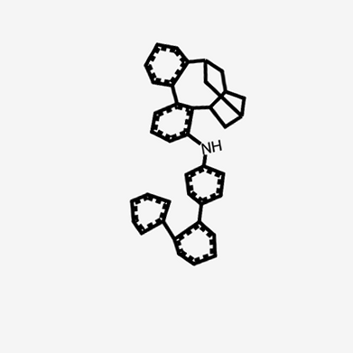 c1ccc(-c2ccccc2-c2ccc(Nc3cccc4c3C3CC5CC(CC3C5)c3ccccc3-4)cc2)cc1